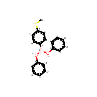 CSc1ccc(B(Oc2ccccc2)Oc2ccccc2)cc1